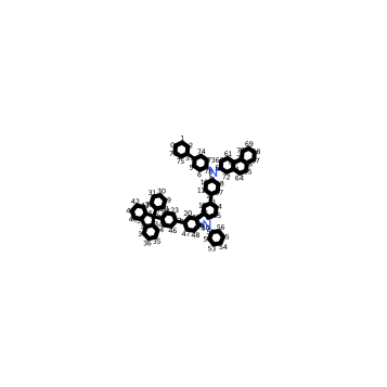 c1ccc(-c2ccc(N(c3ccc(-c4ccc5c(c4)c4cc(-c6ccc(C7(c8ccccc8)c8ccccc8-c8ccccc87)cc6)ccc4n5-c4ccccc4)cc3)c3ccc4c(ccc5ccccc54)c3)cc2)cc1